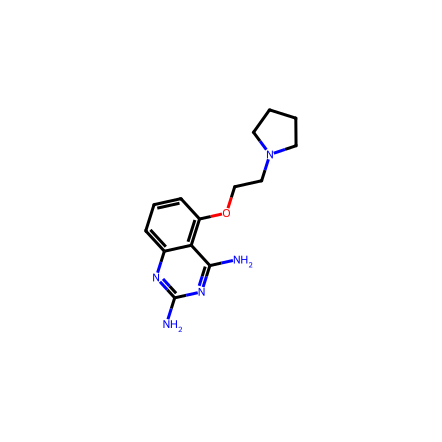 Nc1nc(N)c2c(OCCN3CCCC3)cccc2n1